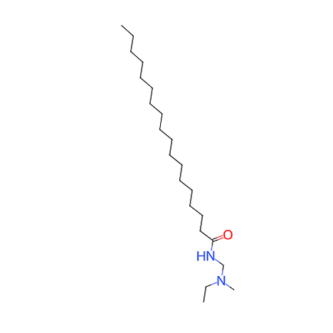 CCCCCCCCCCCCCCCCCC(=O)NCN(C)CC